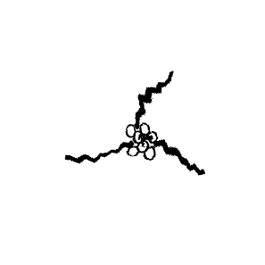 CCCCCCCCCC(=O)OP(=O)(OC(=O)CCCCCCCCC)OC(=O)CCCCCCCCC